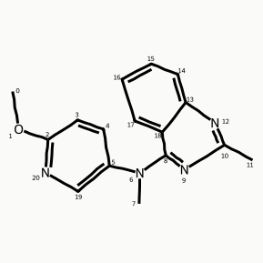 COc1ccc(N(C)c2nc(C)nc3ccccc23)cn1